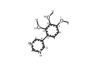 COc1ccc(-c2cncnc2)c(OC)c1OC